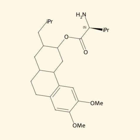 COc1cc2c(cc1OC)C1CC(OC(=O)[C@@H](N)C(C)C)C(CC(C)C)CC1CC2